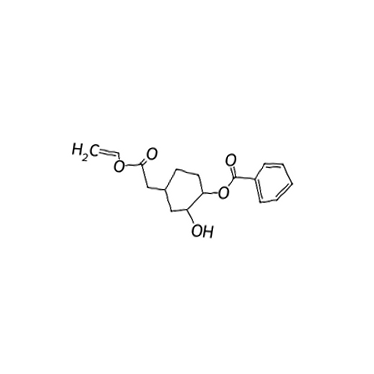 C=COC(=O)CC1CCC(OC(=O)c2ccccc2)C(O)C1